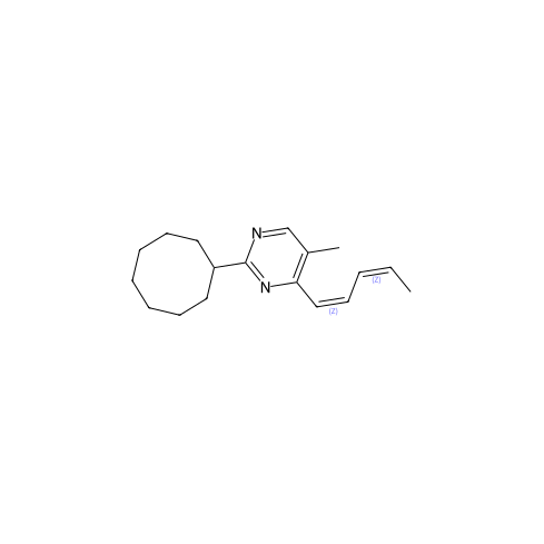 C/C=C\C=C/c1nc(C2CCCCCCC2)ncc1C